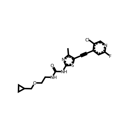 Cc1nc(NC(=O)NCCOCC2CC2)sc1C#Cc1cc(F)ncc1Cl